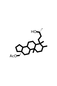 CC(=O)OC[C@]12CCCC1C1CCC3C(C)(CC[C@@H](C)O)C(C)CCC3(C)C1CC2